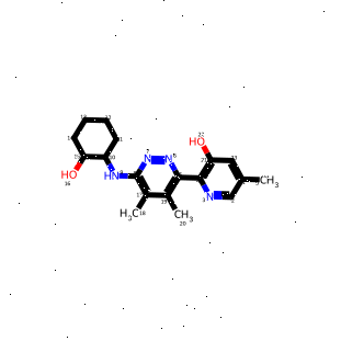 Cc1cnc(-c2nnc(NC3CCCCC3O)c(C)c2C)c(O)c1